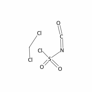 ClCCl.O=C=NS(=O)(=O)Cl